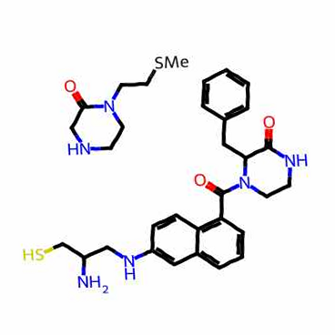 CSCCN1CCNCC1=O.NC(CS)CNc1ccc2c(C(=O)N3CCNC(=O)C3Cc3ccccc3)cccc2c1